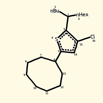 CCCCCCC(CCCC)c1sc(C2CCCCCCC2)cc1Cl